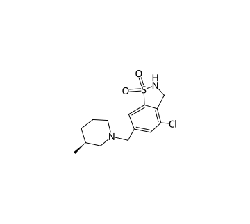 C[C@H]1CCCN(Cc2cc(Cl)c3c(c2)S(=O)(=O)NC3)C1